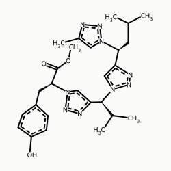 COC(=O)[C@H](Cc1ccc(O)cc1)n1cc([C@H](C(C)C)n2cc([C@H](CC(C)C)n3cc(C)nn3)nn2)nn1